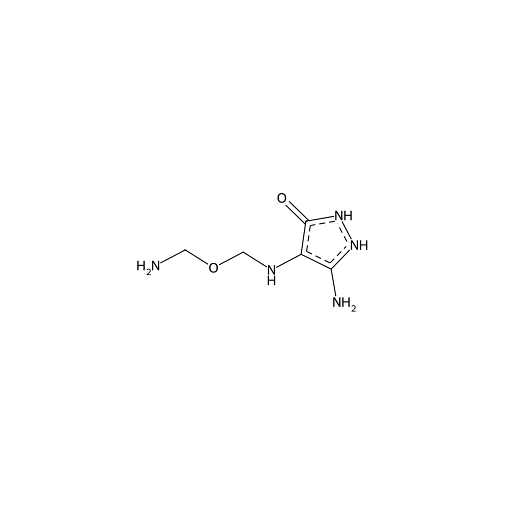 NCOCNc1c(N)[nH][nH]c1=O